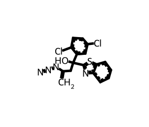 C=C(CC(O)(c1nc2ccccc2s1)c1cc(Cl)ccc1Cl)N=[N+]=[N-]